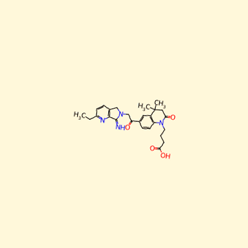 CCc1ccc2c(n1)C(=N)N(CC(=O)c1ccc3c(c1)C(C)(C)CC(=O)N3CCCC(=O)O)C2